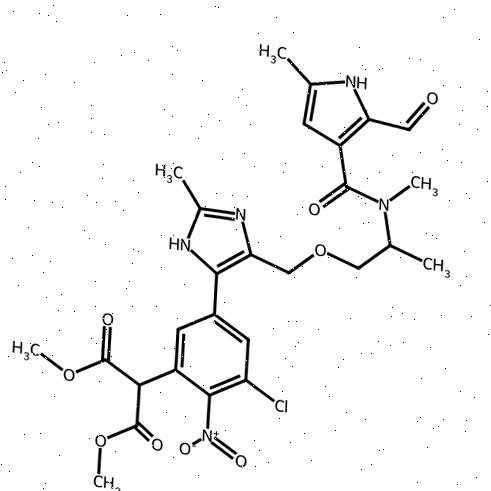 COC(=O)C(C(=O)OC)c1cc(-c2[nH]c(C)nc2COCC(C)N(C)C(=O)c2cc(C)[nH]c2C=O)cc(Cl)c1[N+](=O)[O-]